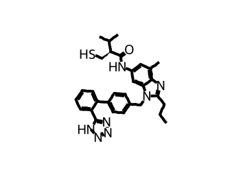 CCCc1nc2c(C)cc(NC(=O)[C@@H](CS)C(C)C)cc2n1Cc1ccc(-c2ccccc2-c2nnn[nH]2)cc1